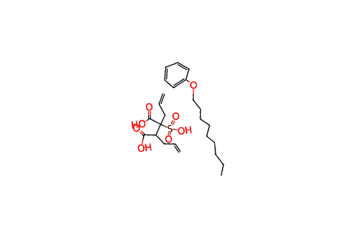 C=CCC(C(=O)O)C(CC=C)(C(=O)O)S(=O)(=O)O.CCCCCCCCCOc1ccccc1